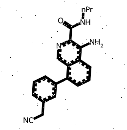 CCCNC(=O)c1ncc2c(-c3cccc(CC#N)c3)cccc2c1N